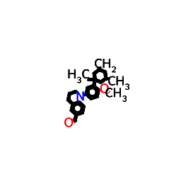 C=C1CC(C)CC(CC)(c2cc(N3CCCc4cc(C=O)ccc43)ccc2OC)C1